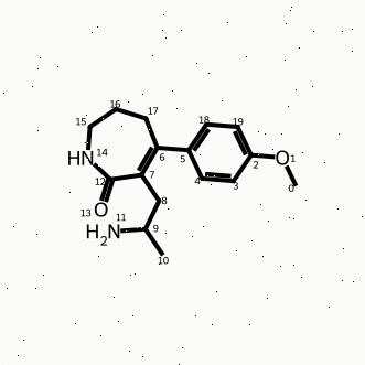 COc1ccc(C2=C(CC(C)N)C(=O)NCCC2)cc1